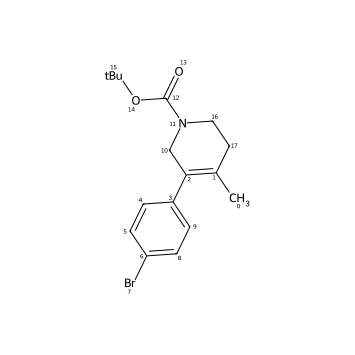 CC1=C(c2ccc(Br)cc2)CN(C(=O)OC(C)(C)C)CC1